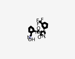 CN1C[C@H](c2cccc(C(F)(F)F)c2)[C@@H](C(=O)Nc2ccccc2/C=N/O)C1=O